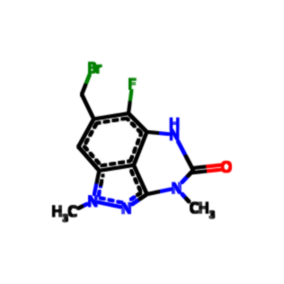 CN1C(=O)Nc2c(F)c(CBr)cc3c2c1nn3C